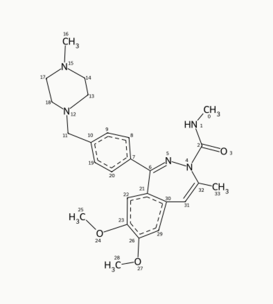 CNC(=O)N1N=C(c2ccc(CN3CCN(C)CC3)cc2)c2cc(OC)c(OC)cc2C=C1C